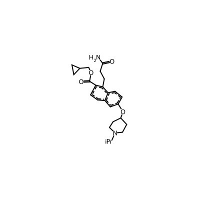 CC(C)N1CCC(Oc2ccc3c(CCC(N)=O)c(C(=O)OCC4CC4)ccc3c2)CC1